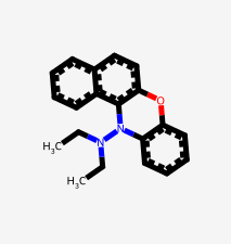 CCN(CC)N1c2ccccc2Oc2ccc3ccccc3c21